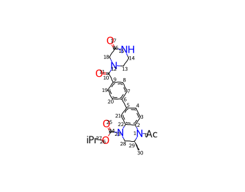 CC(=O)N1c2ccc(-c3ccc(C(=O)N4CCNC(=O)C4)cc3)cc2N(C(=O)OC(C)C)C[C@@H]1C